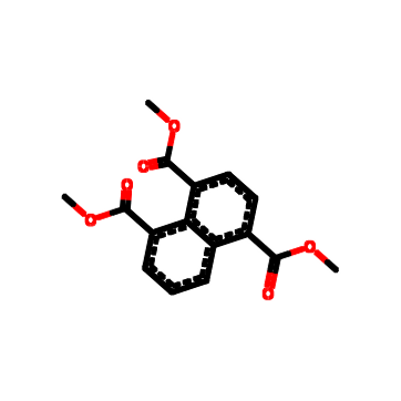 COC(=O)c1ccc(C(=O)OC)c2c(C(=O)OC)cccc12